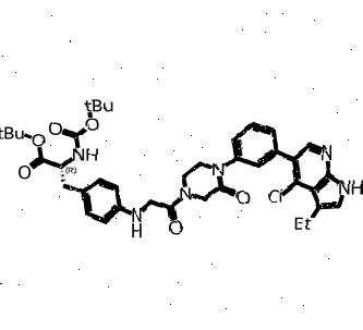 CCc1c[nH]c2ncc(-c3cccc(N4CCN(C(=O)CNc5ccc(C[C@@H](NC(=O)OC(C)(C)C)C(=O)OC(C)(C)C)cc5)CC4=O)c3)c(Cl)c12